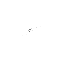 CCCCCCCCc1ccc2cc([C@H]3CC[C@H](CCCC)CC3)ccc2c1